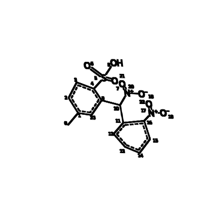 Cc1ccc(S(=O)(=O)O)c(C(c2ccccc2[N+](=O)[O-])[N+](=O)[O-])c1